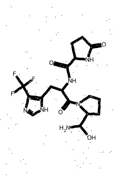 NC(O)C1CCCN1C(=O)C(Cc1[nH]cnc1C(F)(F)F)NC(=O)C1CCC(=O)N1